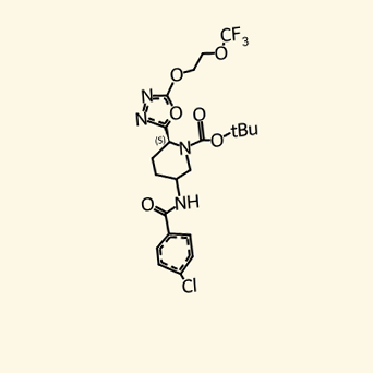 CC(C)(C)OC(=O)N1CC(NC(=O)c2ccc(Cl)cc2)CC[C@H]1c1nnc(OCCOC(F)(F)F)o1